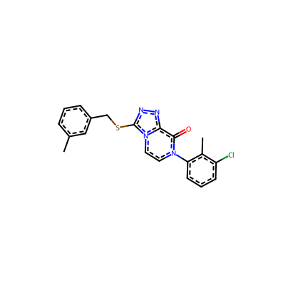 Cc1cccc(CSc2nnc3c(=O)n(-c4cccc(Cl)c4C)ccn23)c1